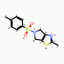 Cc1ccc(S(=O)(=O)N2Cc3nc(C)sc3C2)cc1